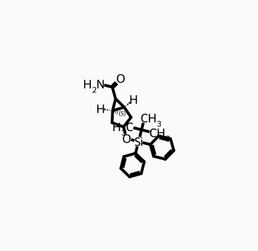 CC(C)(C)[Si](OC1C[C@@H]2C(C(N)=O)[C@@H]2C1)(c1ccccc1)c1ccccc1